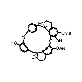 COc1cc2c3cc1Oc1c(O)c(OC)cc4c1[C@H](Cc1ccc(cc1)Oc1cc(ccc1O)C[C@H]3N(C)CC2)NCC4